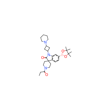 CCC(=O)N1CCC2(CC1)C(=O)N(C1CC(N3CCCCC3)C1)c1cc(B3OC(C)(C)C(C)(C)O3)ccc12